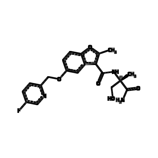 Cc1oc2ccc(OCc3ccc(F)cn3)cc2c1C(=O)N[C@@](C)(CO)C(N)=O